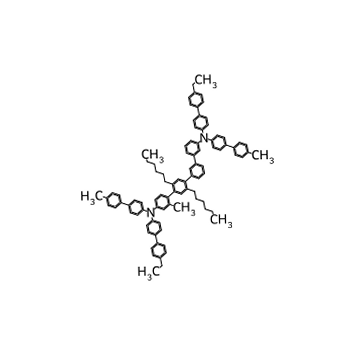 CCCCCCc1cc(-c2ccc(N(c3ccc(-c4ccc(C)cc4)cc3)c3ccc(-c4ccc(CC)cc4)cc3)cc2C)c(CCCCCC)cc1-c1cccc(-c2cccc(N(c3ccc(-c4ccc(C)cc4)cc3)c3ccc(-c4ccc(CC)cc4)cc3)c2)c1